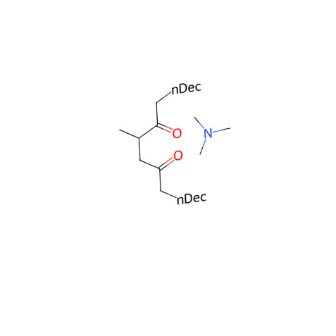 CCCCCCCCCCCC(=O)CC(C)C(=O)CCCCCCCCCCC.CN(C)C